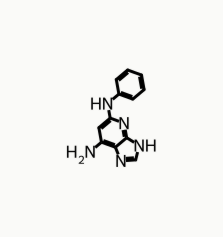 Nc1cc(Nc2ccccc2)nc2[nH]cnc12